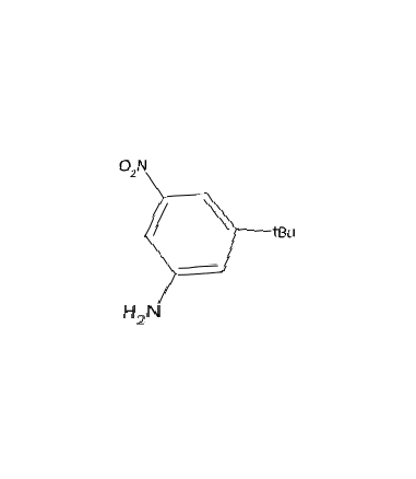 CC(C)(C)c1cc(N)cc([N+](=O)[O-])c1